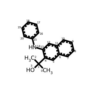 CC(C)(O)c1cc2ccccc2cc1Nc1ccccc1